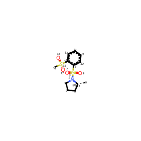 [CH2][C@@H]1CCCN1S(=O)(=O)c1ccccc1S(C)(=O)=O